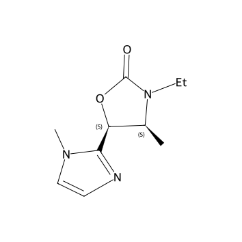 CCN1C(=O)O[C@H](c2nccn2C)[C@@H]1C